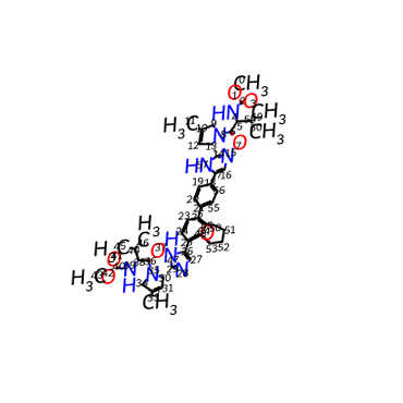 COC(=O)N[C@H](C(=O)N1CC(C)=C[C@H]1c1ncc(-c2ccc(-c3ccc(-c4cnc([C@@H]5C=C(C)CN5C(=O)[C@@H](NC(=O)OC)C(C)C)[nH]4)c4c3C3CCC4O3)cc2)[nH]1)C(C)C